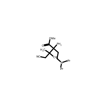 COC(=O)C(P)(CCN(C(C)C)C(C)C)C(C)(C)CC#N